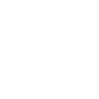 CCC(Br)CCCC(C)C